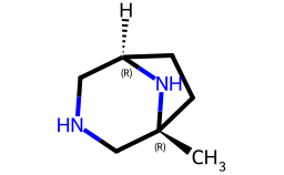 C[C@@]12CC[C@H](CNC1)N2